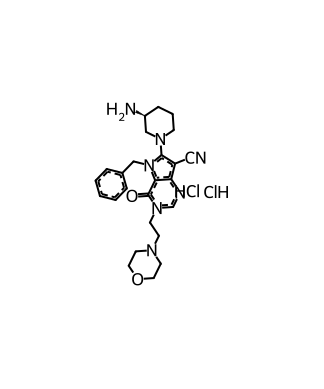 Cl.Cl.N#Cc1c(N2CCC[C@H](N)C2)n(Cc2ccccc2)c2c(=O)n(CCN3CCOCC3)cnc12